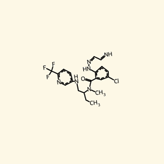 CCC(CNc1ccc(C(F)(F)F)nc1)N(C)C(=O)c1cc(Cl)ccc1N/N=C\C=N